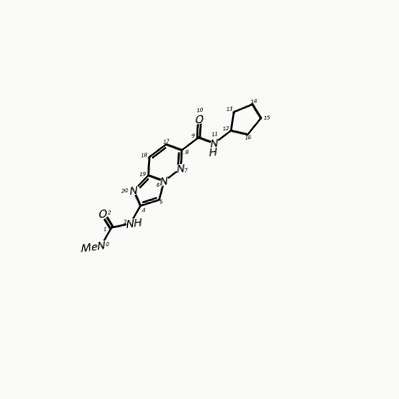 CNC(=O)Nc1cn2nc(C(=O)NC3CCCC3)ccc2n1